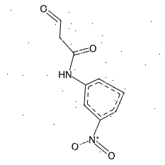 O=CCC(=O)Nc1cccc([N+](=O)[O-])c1